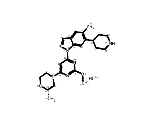 COc1nc(N2CCO[C@@H](C)C2)cc(-n2ncc3cc(C)c(C4CCNCC4)cc32)n1.Cl